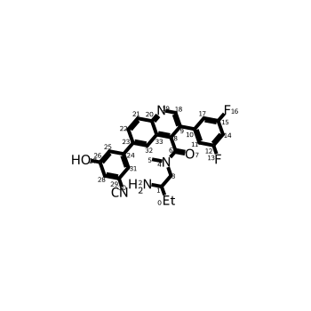 CCC(N)CN(C)C(=O)c1c(-c2cc(F)cc(F)c2)cnc2ccc(-c3cc(O)cc(C#N)c3)cc12